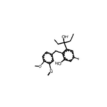 CCC(O)(CC)c1cc(F)cc(O)c1Cc1ccc(OC)c(OC)c1